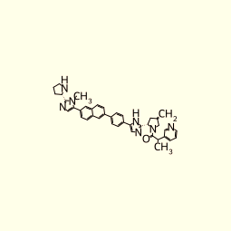 C=C1C[C@@H](c2ncc(-c3ccc(-c4ccc5cc(-c6cnc([C@@H]7CCCN7)n6C)ccc5c4)cc3)[nH]2)N(C(=O)C(C)c2cccnc2)C1